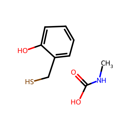 CNC(=O)O.Oc1ccccc1CS